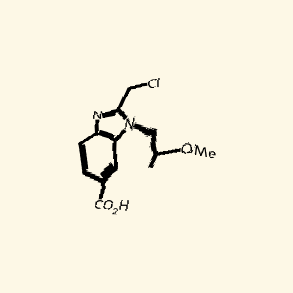 COC(C)Cn1c(CCl)nc2ccc(C(=O)O)cc21